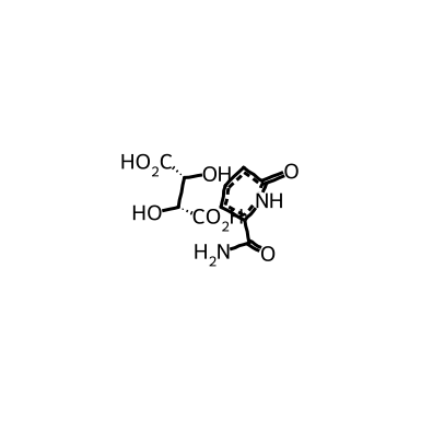 NC(=O)c1cccc(=O)[nH]1.O=C(O)[C@H](O)[C@@H](O)C(=O)O